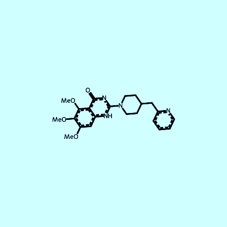 COc1cc2[nH]c(N3CCC(Cc4ccccn4)CC3)nc(=O)c2c(OC)c1OC